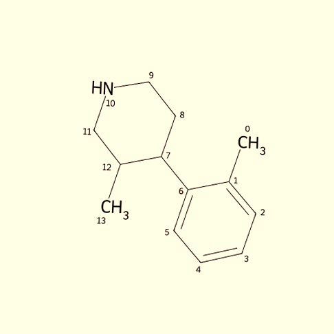 Cc1ccccc1C1CCNCC1C